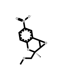 COC[C@@]1(C)Oc2ccc([N+](=O)[O-])cc2C2OC21